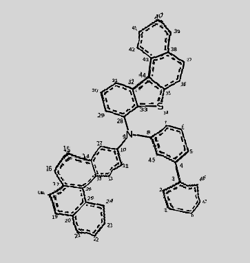 c1ccc(-c2cccc(N(c3ccc4c(ccc5ccc6ccccc6c54)c3)c3cccc4c3sc3ccc5ccccc5c34)c2)cc1